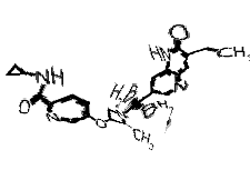 BC(B)(c1cnc2cc(CC)c(=O)[nH]c2c1)N1C[C@H](Oc2ccc(C(=O)NC3CC3)nc2)[C@H]1C